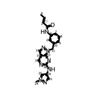 C/C=C/C(=O)Nc1cccc(Cn2ncc3cnc(Nc4cnn(C)c4)nc32)c1